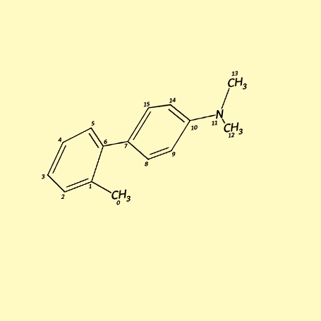 Cc1ccccc1-c1ccc(N(C)C)cc1